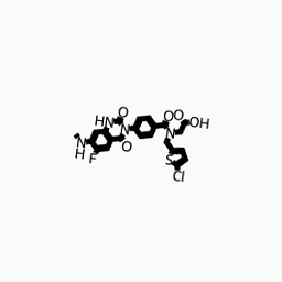 CNc1cc2[nH]c(=O)n(-c3ccc(C(=O)N(CC(=O)O)Cc4ccc(Cl)s4)cc3)c(=O)c2cc1F